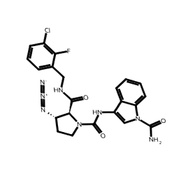 [N-]=[N+]=N[C@H]1CCN(C(=O)Nc2cn(C(N)=O)c3ccccc23)[C@@H]1C(=O)NCc1cccc(Cl)c1F